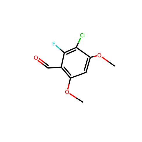 COc1cc(OC)c(C=O)c(F)c1Cl